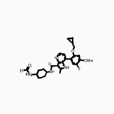 CCC(=O)NC1CCC(NC(=O)c2c(C)[nH]c3c(-c4cc(F)c(OC)cc4OCC4CC4)ccnc23)CC1